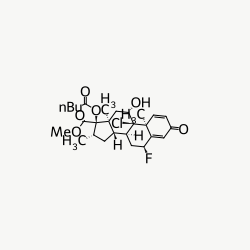 CCCCC(=O)O[C@]1(C(=O)OC)[C@@H](C)C[C@H]2[C@@H]3C[C@H](F)C4=CC(=O)C=C[C@]4(C)[C@@]3(Cl)[C@@H](O)C[C@@]21C